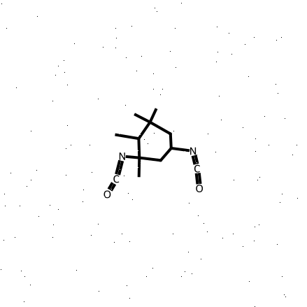 CC1C(C)(C)CC(N=C=O)CC1(C)N=C=O